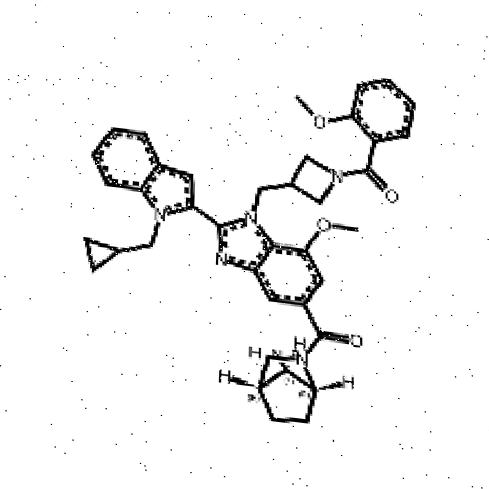 COc1ccccc1C(=O)N1CC(Cn2c(-c3cc4ccccc4n3CC3CC3)nc3cc(C(=O)N4C[C@H]5CC[C@@H]4[C@@H]5N)cc(OC)c32)C1